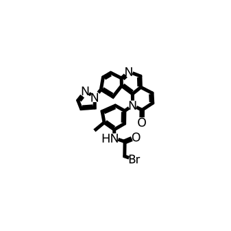 Cc1ccc(-n2c(=O)ccc3cnc4ccc(-n5cccn5)cc4c32)cc1NC(=O)CBr